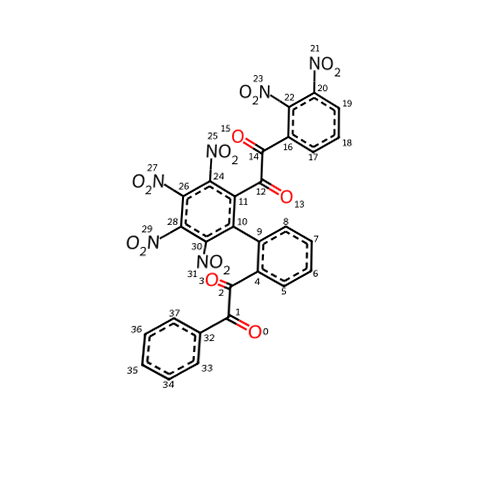 O=C(C(=O)c1ccccc1-c1c(C(=O)C(=O)c2cccc([N+](=O)[O-])c2[N+](=O)[O-])c([N+](=O)[O-])c([N+](=O)[O-])c([N+](=O)[O-])c1[N+](=O)[O-])c1ccccc1